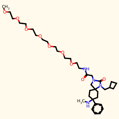 CNC1(c2ccccc2)CCC2(CC1)CN(CC(=O)NCCOCCOCCOCCOCCOCCOCCOC)C(=O)N2CC1CCC1